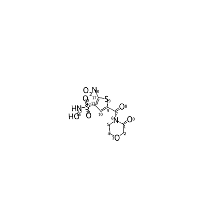 O=C1COCCN1C(=O)c1cc(S(=O)(=O)NO)c([N+](=O)[O-])s1